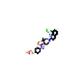 CC1(C)CN(c2ccc3cccc(Cl)c3n2)CC[C@@H]1C(=O)N[C@H]1CC[C@@H](CO)CC1